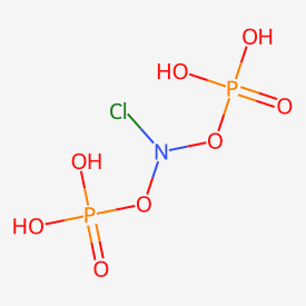 O=P(O)(O)ON(Cl)OP(=O)(O)O